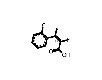 C/C(=C(\F)C(=O)O)c1ccccc1Cl